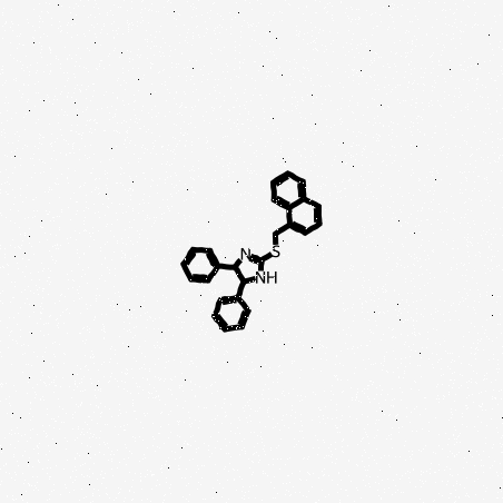 c1ccc(C2N=C(SCc3cccc4ccccc34)NC2c2ccccc2)cc1